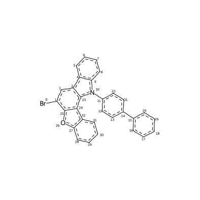 Brc1cc2c3ccccc3n(-c3ccc(-c4ccccc4)cc3)c2c2c1oc1ccccc12